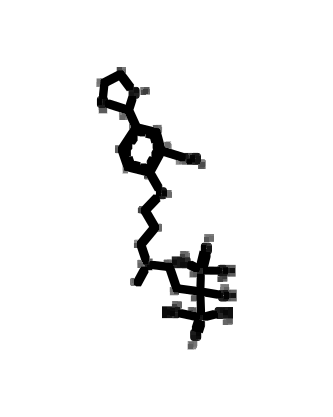 CN(CCCOc1ccc(C2OCCO2)cc1[N+](=O)[O-])CCC(O)(P(=O)(O)O)P(=O)(O)O